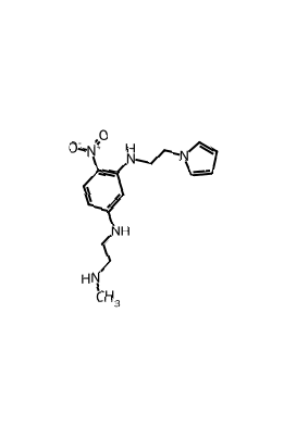 CNCCNc1ccc([N+](=O)[O-])c(NCCn2cccc2)c1